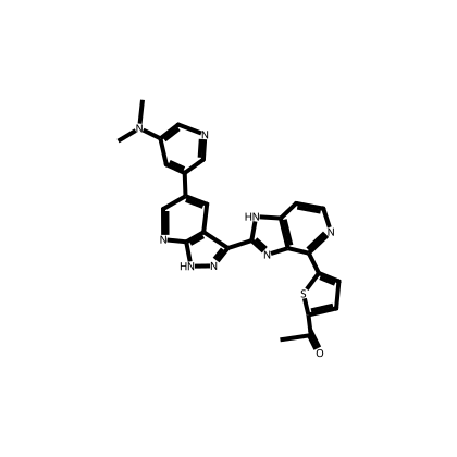 CC(=O)c1ccc(-c2nccc3[nH]c(-c4n[nH]c5ncc(-c6cncc(N(C)C)c6)cc45)nc23)s1